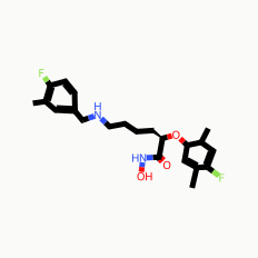 CC1=CC(O[C@H](CCCCNCc2ccc(F)c(C)c2)C(=O)NO)C(C)C=C1F